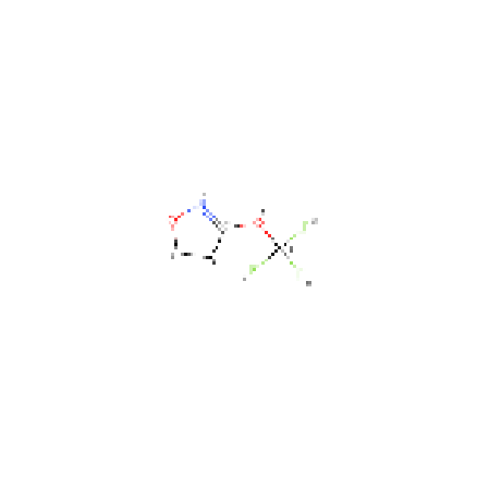 FC(F)(F)OC1=NO[C]C1